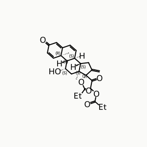 C=C1C[C@H]2[C@@H]3C=CC4=CC(=O)C=C[C@]4(C)[C@H]3[C@@H](O)C[C@]2(C)[C@]1(OC(=O)CC)C(=O)COC(=O)CC